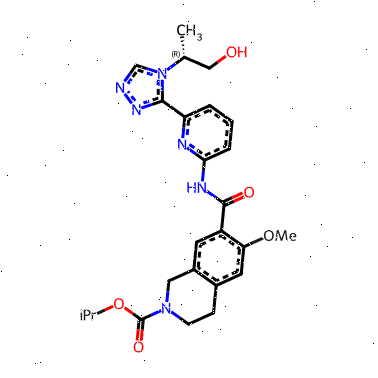 COc1cc2c(cc1C(=O)Nc1cccc(-c3nncn3[C@H](C)CO)n1)CN(C(=O)OC(C)C)CC2